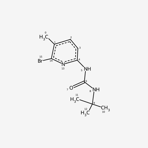 Cc1ccc(NC(=O)NC(C)(C)C)nc1Br